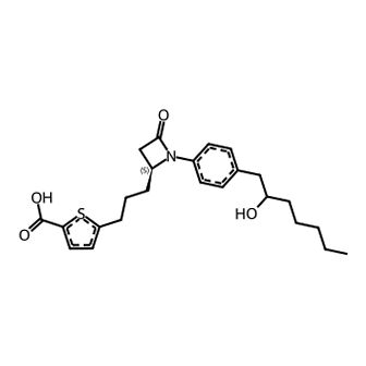 CCCCCC(O)Cc1ccc(N2C(=O)C[C@@H]2CCCc2ccc(C(=O)O)s2)cc1